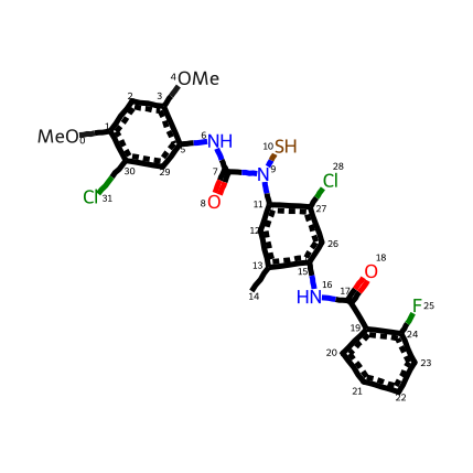 COc1cc(OC)c(NC(=O)N(S)c2cc(C)c(NC(=O)c3ccccc3F)cc2Cl)cc1Cl